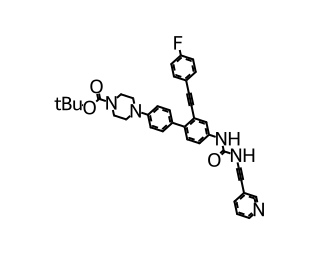 CC(C)(C)OC(=O)N1CCN(c2ccc(-c3ccc(NC(=O)NC#Cc4cccnc4)cc3C#Cc3ccc(F)cc3)cc2)CC1